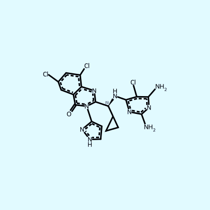 Nc1nc(N)c(Cl)c(N[C@H](c2nc3c(Cl)cc(Cl)cc3c(=O)n2-c2cc[nH]n2)C2CC2)n1